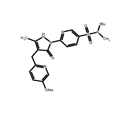 COc1ccc(Cc2c(C)[nH]n(-c3ccc(S(=O)(=O)N(C)C(C)(C)C)cn3)c2=O)nc1